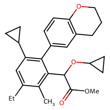 CCc1cc(C2CC2)c(-c2ccc3c(c2)CCCO3)c(C(OC2CC2)C(=O)OC)c1C